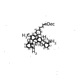 CCCCCCCCCCCCCC1CCC(c2cc(C)c(Oc3cccc(N)c3)c(C)c2)(c2cc(C)c(Oc3cccc(N)c3)c(C)c2)CC1